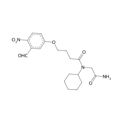 NC(=O)CN(C(=O)CCCOc1ccc([N+](=O)[O-])c(C=O)c1)C1CCCCC1